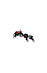 N#Cc1cnn(-c2ccc(C3=NOC(c4cccc(C(F)(F)F)c4)(C(F)(F)F)C3)cc2C#N)c1